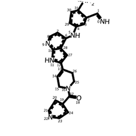 N=Cc1cc(Nc2ccnc3[nH]c(C4=CCN(C(=O)c5ccncc5)CC4)cc23)ccc1N